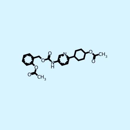 CC(=O)Oc1ccccc1COC(=O)Nc1ccc(C2CCC(OC(C)=O)CC2)nc1